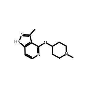 Cc1n[nH]c2ccnc(OC3CCN(C)CC3)c12